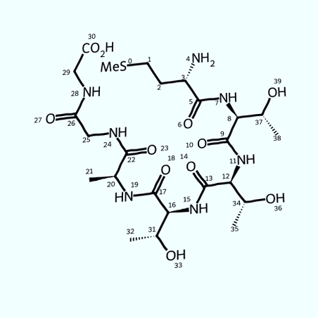 CSCC[C@H](N)C(=O)N[C@H](C(=O)N[C@H](C(=O)N[C@H](C(=O)N[C@@H](C)C(=O)NCC(=O)NCC(=O)O)[C@@H](C)O)[C@@H](C)O)[C@@H](C)O